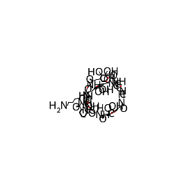 NCCCCC(CN1CCNC(=O)c2ccc(c(O)c2O)C(=O)NCCN2CCNC(=O)c3ccc(c(O)c3O)C(=O)NCCN(CCNC(=O)c3ccc(c(O)c3O)C(=O)NCC2)CC1)NC(=O)c1cccc(=O)n1O